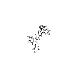 CCCc1c(C(F)F)n(CCC2CCCCC2)c(=O)n1Cc1ccc(-c2ccccc2-c2nnn[nH]2)cc1